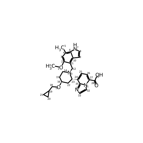 COc1cc(C)c2[nH]ccc2c1CN1CC[C@H](OCC2CC2)C[C@H]1c1ccc(C(=O)O)n2ccnc12